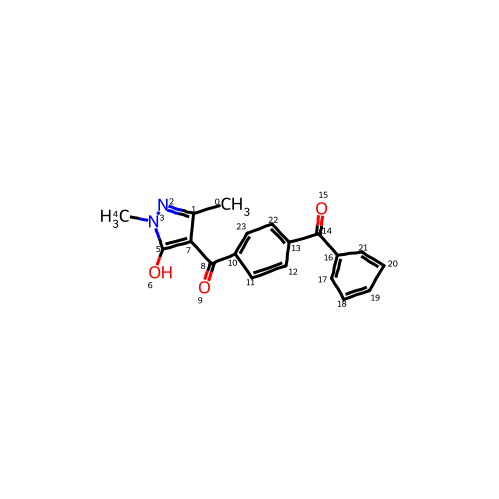 Cc1nn(C)c(O)c1C(=O)c1ccc(C(=O)c2ccccc2)cc1